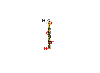 CCC[S+]([O-])CCSCSCSCCSC(=O)CCSCSCSCCC[S+]([O-])CSCCSCO